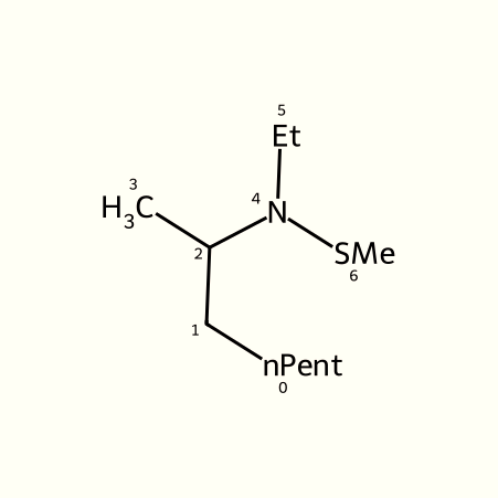 CCCCCCC(C)N(CC)SC